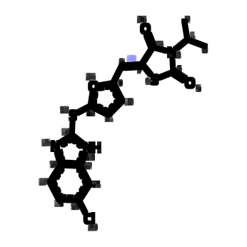 CC(C)N1C(=O)S/C(=C\c2ccc(Sc3nc4ccc(Cl)cc4[nH]3)o2)C1=O